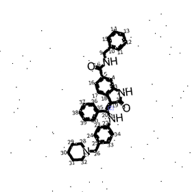 O=C1Nc2cc(C(=O)NCc3ccccc3)ccc2/C1=C(/Nc1ccc(CN2CCCCC2)cc1)c1ccccc1